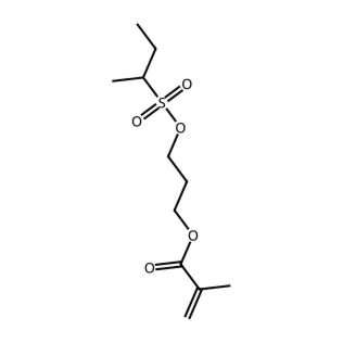 C=C(C)C(=O)OCCCOS(=O)(=O)C(C)CC